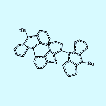 CC(C)(C)c1c2ccccc2c(-c2cccc3c2sc2cccc(-c4c5ccccc5c(C(C)(C)C)c5ccccc45)c23)c2ccccc12